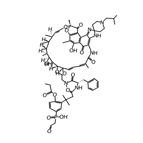 CCC(=O)Oc1ccc(P(=O)(O)CC=O)cc1C(C)(C)CC(=O)N[C@@H](Cc1ccccc1)C(=O)N(C)CC(=O)O[C@@H]1[C@@H](C)[C@@H](O)[C@@H](C)[C@H](C)[C@H](C)[C@@H](C)/C=C/O[C@@]2(C)Oc3c(C)c(O)c4c(c3C2=O)C2=NC3(CCN(CC(C)C)CC3)NC2=C(NC(=O)/C(C)=C\C=C\[C@@H]1C)C4=O